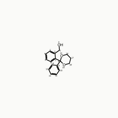 OCc1ccccc1C1(c2ccccc2)OCCCO1